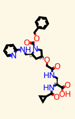 O=C(CO[C@@H]1C[C@@H](CNc2ccccn2)N(C(=O)OCc2ccccc2)C1)NC[C@H](NC(=O)C1CC1)C(=O)O